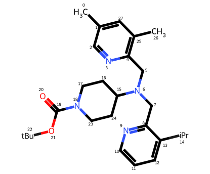 Cc1cnc(CN(Cc2ncccc2C(C)C)C2CCN(C(=O)OC(C)(C)C)CC2)c(C)c1